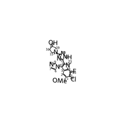 COc1cc2c(-n3ccnc3)c(-c3nc(N4CCC(O)C4)n[nH]3)n(C)c2c(F)c1Cl